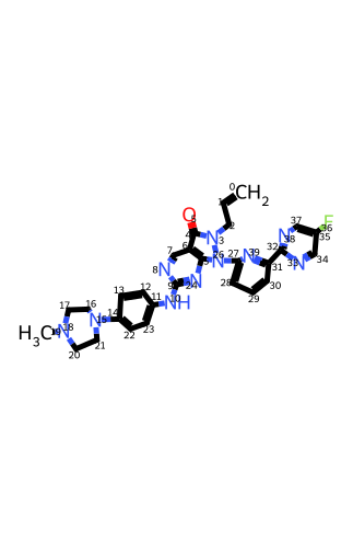 C=CCn1c(=O)c2cnc(Nc3ccc(N4CCN(C)CC4)cc3)nc2n1-c1cccc(-c2ncc(F)cn2)n1